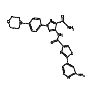 NC(=O)c1nn(-c2ccc(N3CCOCC3)cc2)cc1NC(=O)c1coc(-c2ccnc(N)c2)n1